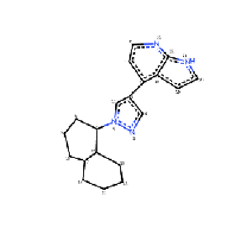 c1cc(-c2cnn(C3CCCC4CCCCC43)c2)c2cc[nH]c2n1